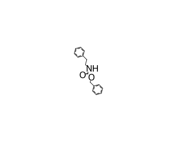 O=C(NCCc1ccccc1)OCc1ccccc1